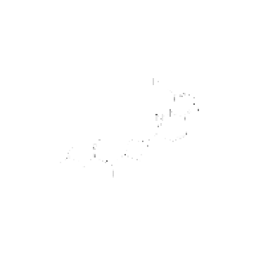 C=C(C)OC(=O)NC1CN(c2ccc3ncc(Br)n3n2)C1